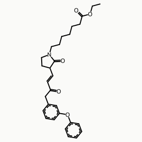 CCOC(=O)CCCCCCN1CCC(C=CC(=O)Cc2cccc(Oc3ccccc3)c2)C1=O